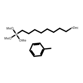 CCCCCCCCCCCCCCCCCC[Si](OC)(OC)OC.Cc1ccccc1